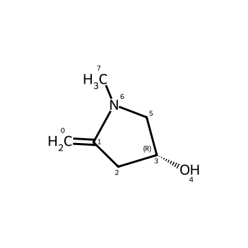 C=C1C[C@@H](O)CN1C